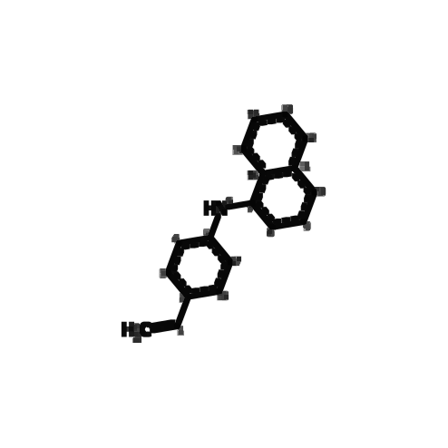 C=Cc1ccc(Nc2cccc3ccccc23)cc1